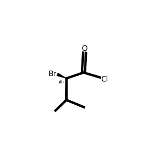 CC(C)[C@@H](Br)C(=O)Cl